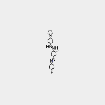 Cc1cc(/N=N/c2ccc(F)cc2)ccc1NNc1ccc(N2CCCC2)cc1